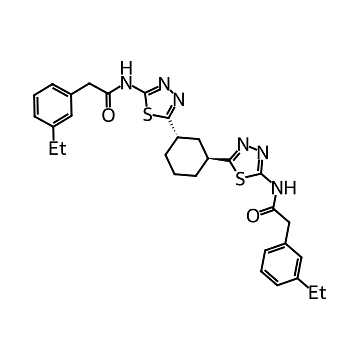 CCc1cccc(CC(=O)Nc2nnc([C@H]3CCC[C@H](c4nnc(NC(=O)Cc5cccc(CC)c5)s4)C3)s2)c1